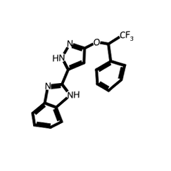 FC(F)(F)C(Oc1cc(-c2nc3ccccc3[nH]2)[nH]n1)c1ccccc1